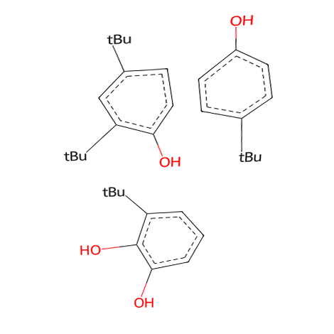 CC(C)(C)c1ccc(O)c(C(C)(C)C)c1.CC(C)(C)c1ccc(O)cc1.CC(C)(C)c1cccc(O)c1O